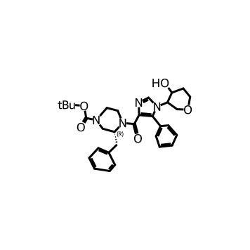 CC(C)(C)OC(=O)N1CCN(C(=O)c2ncn(C3COCCC3O)c2-c2ccccc2)[C@H](Cc2ccccc2)C1